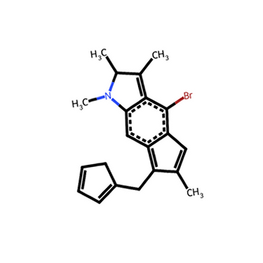 CC1=Cc2c(Br)c3c(cc2=C1CC1=CC=CC1)N(C)C(C)C=3C